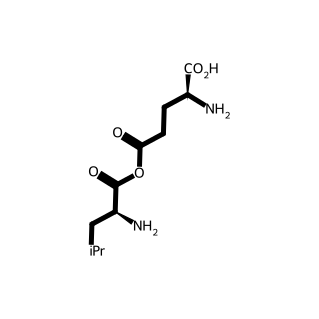 CC(C)C[C@H](N)C(=O)OC(=O)CC[C@H](N)C(=O)O